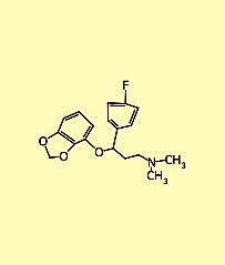 CN(C)CCC(Oc1cccc2c1OCO2)c1ccc(F)cc1